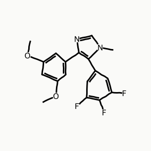 COc1cc(OC)cc(-c2ncn(C)c2-c2cc(F)c(F)c(F)c2)c1